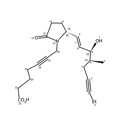 CCC#CC[C@H](C)[C@H](O)/C=C/[C@H]1CCC(=O)N1CC#CCCCC(=O)O